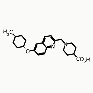 C[C@H]1CC[C@H](Oc2ccc3nc(CN4CCC(C(=O)O)CC4)ccc3c2)CC1